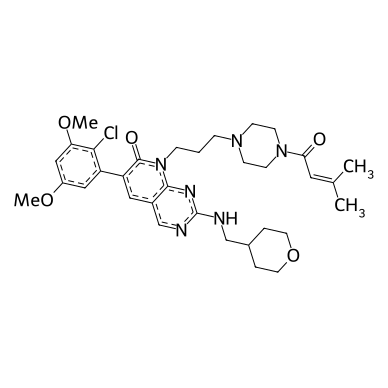 COc1cc(OC)c(Cl)c(-c2cc3cnc(NCC4CCOCC4)nc3n(CCCN3CCN(C(=O)C=C(C)C)CC3)c2=O)c1